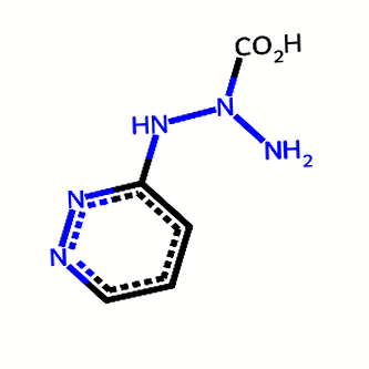 NN(Nc1cccnn1)C(=O)O